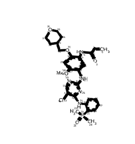 C=CC(=O)Nc1cc(Nc2ncc(Cl)c(Nc3ccccc3P(C)(C)=O)n2)c(OC)cc1OCC1CCOCC1